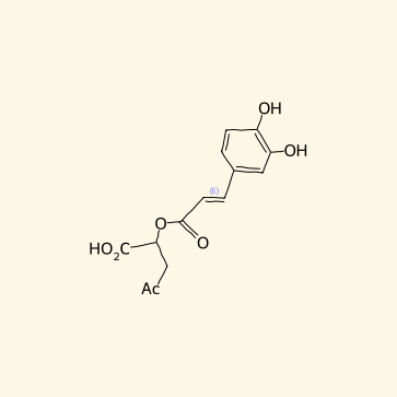 CC(=O)CC(OC(=O)/C=C/c1ccc(O)c(O)c1)C(=O)O